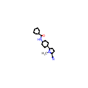 Cn1c(C#N)ccc1-c1ccc(NC(=O)c2ccccc2)cc1